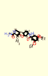 CCOc1cc(OCC)cc(C(=O)Nc2cccc(Oc3ccnc(C(N)=O)c3C)c2)c1